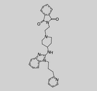 O=C1c2ccccc2C(=O)N1CCN1CCC(Nc2nc3ccccc3n2CCCc2ccccn2)CC1